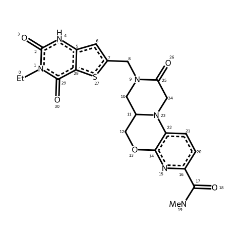 CCn1c(=O)[nH]c2cc(CN3CC4COc5nc(C(=O)NC)ccc5N4CC3=O)sc2c1=O